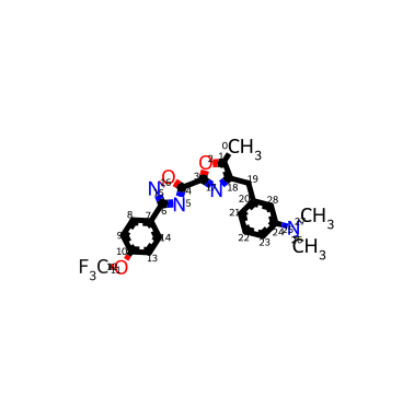 Cc1oc(-c2nc(-c3ccc(OC(F)(F)F)cc3)no2)nc1Cc1cccc(N(C)C)c1